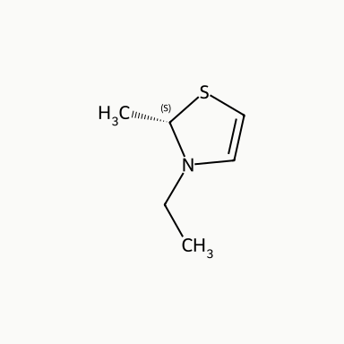 CCN1C=CS[C@H]1C